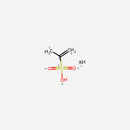 C=C(C)S(=O)(=O)O.[KH]